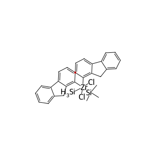 C[Si](C)(C)[Zr]([SiH3])([Cl])([Cl])([c]1cccc2c1Cc1ccccc1-2)[c]1cccc2c1Cc1ccccc1-2